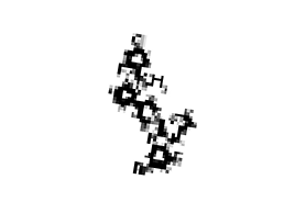 C[C@]1(c2ccc(Cl)cc2F)Oc2cccc(C3CCN(Cc4nc5cc(Br)cc(F)c5n4C[C@@H]4CCO4)CC3)c2O1